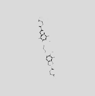 COc1c(OCCCOc2c(OC)c(F)c3sc(C(=O)C[C@H](C)C(=O)O)cc3c2F)cc2c(c1F)CN(C(=O)C[C@H](C)C(=O)O)C2